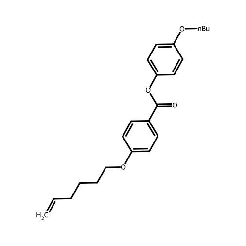 C=CCCCCOc1ccc(C(=O)Oc2ccc(OCCCC)cc2)cc1